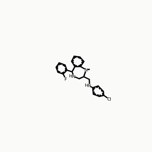 CN1c2ccccc2C(c2ccccc2F)NCC1CNc1ccc(Cl)cc1